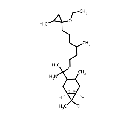 CCOC1(CCCC(C)CCOC(C)(N)C2C[C@H]3[C@@H](CC2C)C3(C)C)CC1C